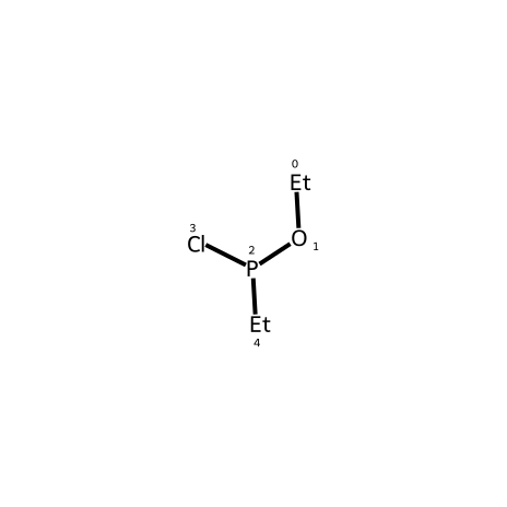 CCOP(Cl)CC